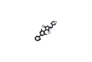 Cc1cc(-c2ccccc2)cc(C)c1C1C(=O)C/C(=C\C2CCOC2)C1=O